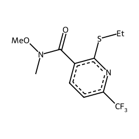 CCSc1nc(C(F)(F)F)ccc1C(=O)N(C)OC